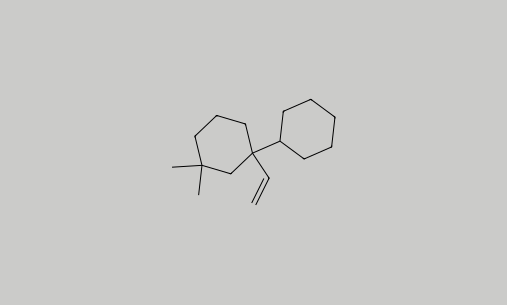 C=CC1(C2CCCCC2)CCCC(C)(C)C1